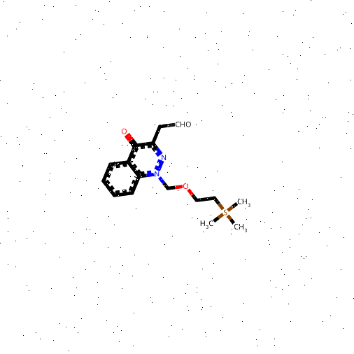 CS(C)(C)CCOCn1nc(CC=O)c(=O)c2ccccc21